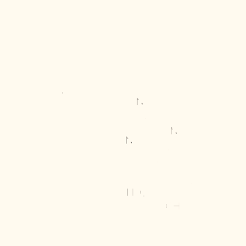 CC1(C)c2ccccc2-c2nc(-n3c4ccccc4c4cc5c(cc43)sc3ccccc35)nc(-c3ccccc3)c21